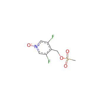 CS(=O)(=O)OCc1c(F)c[n+]([O-])cc1F